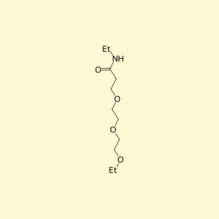 CCNC(=O)CCOCCOCCOCC